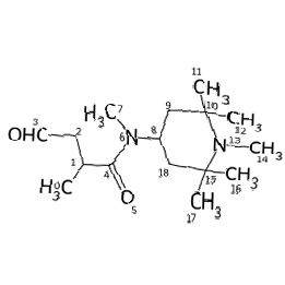 CC(CC=O)C(=O)N(C)C1CC(C)(C)N(C)C(C)(C)C1